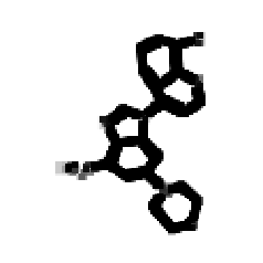 O=C(O)c1cc(N2CCOCC2)cc2c1ncn2-c1ccnc2c(Cl)cccc12